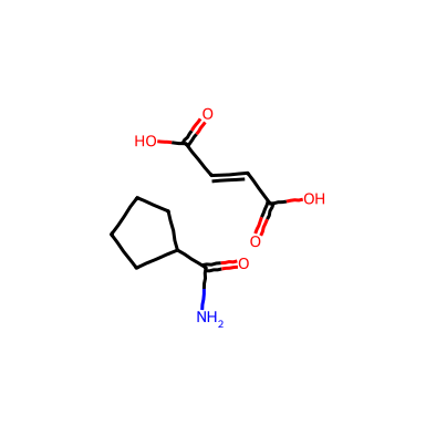 NC(=O)C1CCCC1.O=C(O)C=CC(=O)O